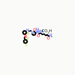 CN(C)C(=O)C=CCCC(NC(=O)O)C(=O)Nc1cccn(Cc2nc3cccc(OCc4ccc(F)cc4F)c3s2)c1=O